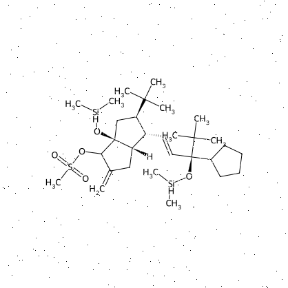 C=C1C[C@H]2[C@@H](C=C[C@@](O[SiH](C)C)(C3CCCC3)C(C)(C)C)[C@H](C(C)(C)C)C[C@@]2(O[SiH](C)C)C1OS(C)(=O)=O